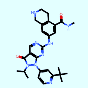 CNC(=O)c1cc(Nc2ncc3c(=O)n(C(C)C)n(-c4ccnc(C(C)(C)C)c4)c3n2)cc2c1CCNC2